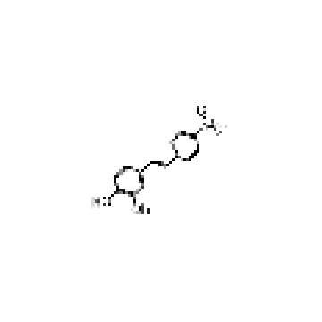 O=[N+]([O-])c1ccc(/C=C/c2ccc(O)c(O)c2)cc1